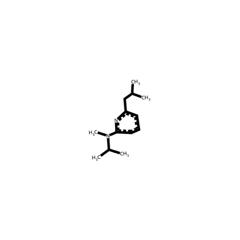 CC(C)Cc1cccc(N(C)C(C)C)n1